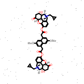 COc1cc(CC(=O)Oc2ccc3c4c2O[C@H]2C(=O)CC[C@@]5(O)[C@@H](C3)N(CC3CC3)CC[C@]425)c2cc(OC)cc(CC(=O)Oc3ccc4c5c3O[C@H]3C(=O)CC[C@@]6(O)[C@@H](C4)N(CC4CC4)CC[C@]536)c2c1